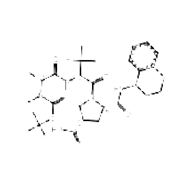 C[C@@H](C(=O)N[C@H](C(=O)N1C[C@@H](C(=O)O)C[C@H]1C(=O)NC1CCCc2ccccc21)C(C)(C)C)N(C)C(=O)OC(C)(C)C